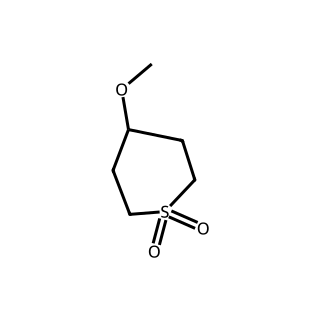 COC1CCS(=O)(=O)CC1